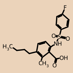 CCCCc1ccc(NS(=O)(=O)c2ccc(F)cc2)c(C(=O)O)c1C